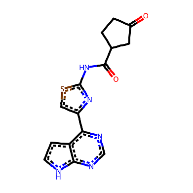 O=C1CCC(C(=O)Nc2nc(-c3ncnc4[nH]ccc34)cs2)C1